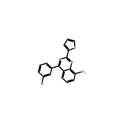 FC(F)(F)c1cccc2c(-c3cccc(Br)c3)nc(-c3cccs3)nc12